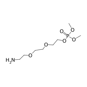 COP(=O)(OC)OCCOCCOCCN